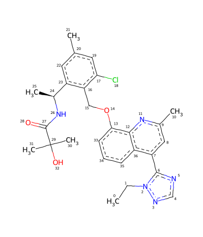 CCn1ncnc1-c1cc(C)nc2c(OCc3c(Cl)cc(C)cc3[C@H](C)NC(=O)C(C)(C)O)cccc12